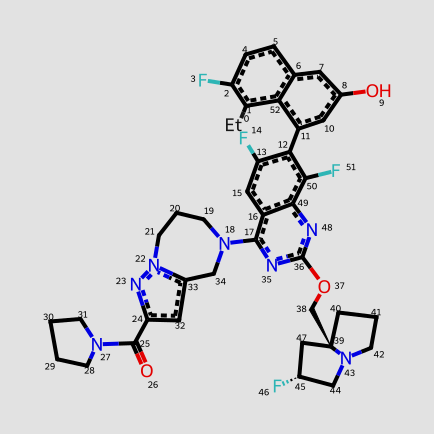 CCc1c(F)ccc2cc(O)cc(-c3c(F)cc4c(N5CCCn6nc(C(=O)N7CCCC7)cc6C5)nc(OC[C@@]56CCCN5C[C@H](F)C6)nc4c3F)c12